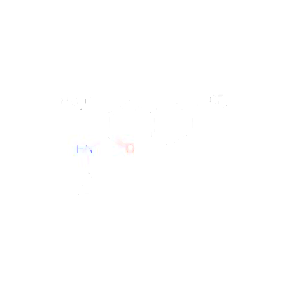 O=C(O)/C(=C/c1cccc(C(F)(F)F)c1)C(=O)NC1CC1